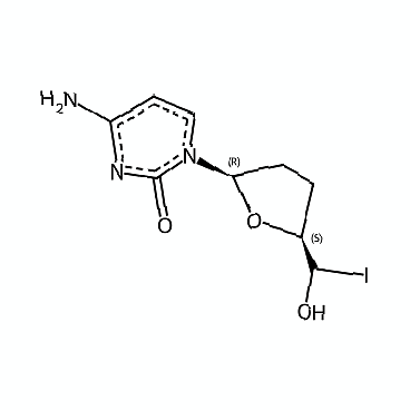 Nc1ccn([C@H]2CC[C@@H](C(O)I)O2)c(=O)n1